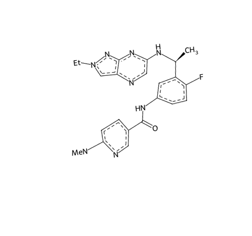 CCn1cc2ncc(N[C@@H](C)c3cc(NC(=O)c4ccc(NC)nc4)ccc3F)nc2n1